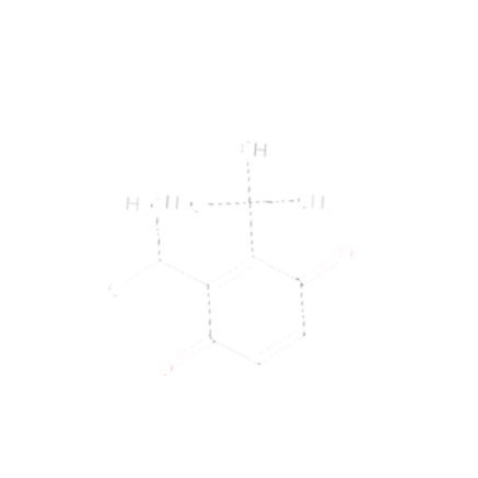 CC(C)C1=C(C(C)(C)C)C(=O)C=CC1=O